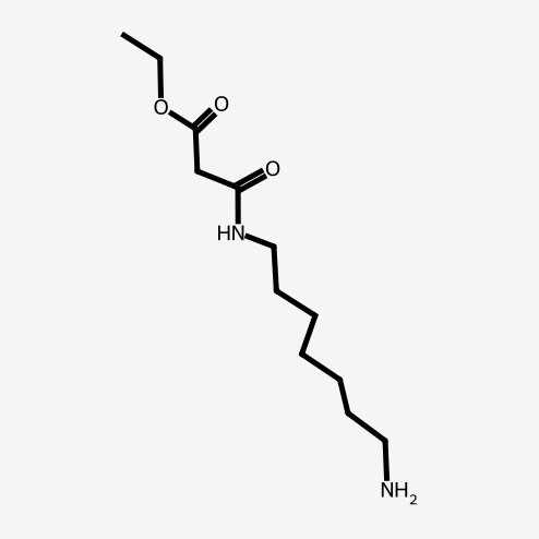 CCOC(=O)CC(=O)NCCCCCCCN